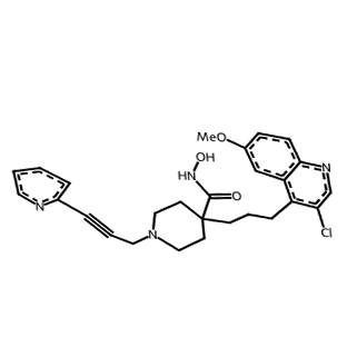 COc1ccc2ncc(Cl)c(CCCC3(C(=O)NO)CCN(CC#Cc4ccccn4)CC3)c2c1